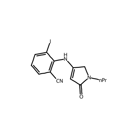 CCCN1CC(Nc2c(I)cccc2C#N)=CC1=O